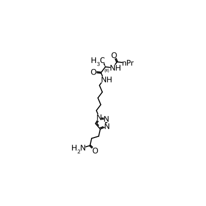 CCCC(=O)N[C@H](C)C(=O)NCCCCCn1cc(CCC(N)=O)nn1